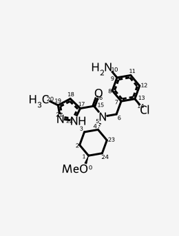 CO[C@H]1CC[C@H](N(Cc2cc(N)ccc2Cl)C(=O)c2cc(C)n[nH]2)CC1